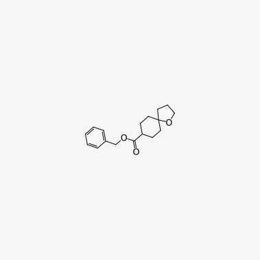 O=C(OCc1ccccc1)C1CCC2(CCCO2)CC1